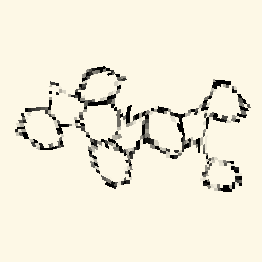 c1ccc(-n2c3ccccc3c3cc4c(cc32)c2cccc3c2n4-c2cccc4c2B3c2ccccc2O4)cc1